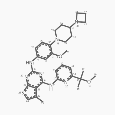 COc1cc(Nc2nc(Nc3cccc(C(C)(C)OC)n3)c3c(C)csc3n2)ccc1N1CCC(N2CCC2)CC1